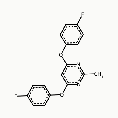 Cc1nc(Oc2ccc(F)cc2)cc(Oc2ccc(F)cc2)n1